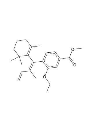 C=CC(C)=C(C1=C(C)CCCC1(C)C)c1ccc(C(=O)OC)cc1OCC